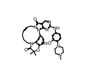 COc1cc(Nc2ncc3c(=O)n4n(c3n2)-c2ccc3c(c2)N(CCC/C=C\C4)C(=O)C(C)(C)O3)ccc1N1CCN(C)CC1